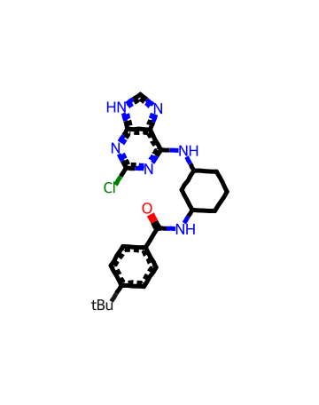 CC(C)(C)c1ccc(C(=O)NC2CCCC(Nc3nc(Cl)nc4[nH]cnc34)C2)cc1